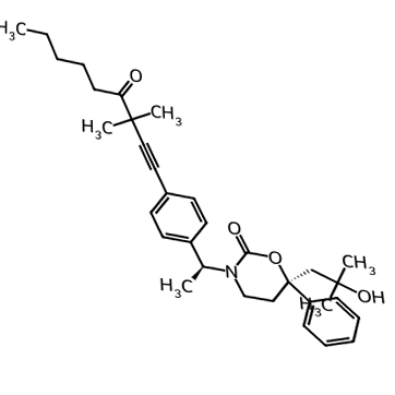 CCCCCC(=O)C(C)(C)C#Cc1ccc([C@H](C)N2CC[C@](CC(C)(C)O)(c3ccccc3)OC2=O)cc1